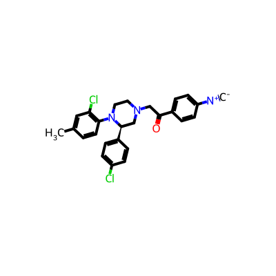 [C-]#[N+]c1ccc(C(=O)CN2CCN(c3ccc(C)cc3Cl)[C@H](c3ccc(Cl)cc3)C2)cc1